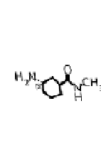 CNC(=O)C1CCC[C@H](N)C1